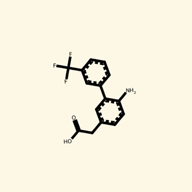 Nc1ccc(CC(=O)O)cc1-c1cccc(C(F)(F)F)c1